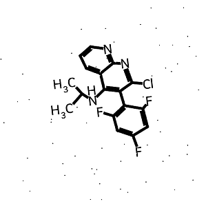 CC(C)Nc1c(-c2c(F)cc(F)cc2F)c(Cl)nc2ncccc12